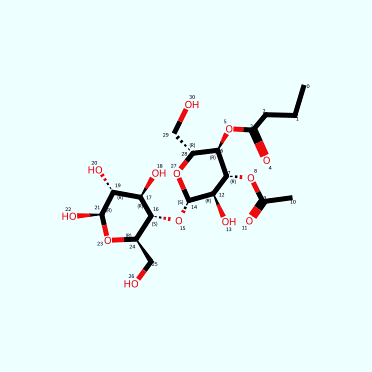 CCCC(=O)O[C@H]1[C@H](OC(C)=O)[C@@H](O)[C@H](O[C@H]2[C@H](O)[C@@H](O)[C@H](O)O[C@@H]2CO)O[C@@H]1CO